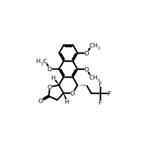 COc1c2c(c(OC)c3c(OC)cccc13)[C@H](CCC(F)(F)F)O[C@@H]1CC(=O)O[C@H]21